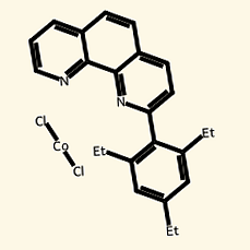 CCc1cc(CC)c(-c2ccc3ccc4cccnc4c3n2)c(CC)c1.[Cl][Co][Cl]